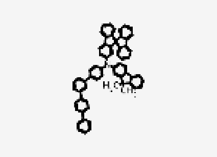 CC1(C)c2ccccc2-c2ccc(N(c3ccc(-c4cccc(-c5ccc(-c6ccccc6)cc5)c4)cc3)c3ccc4c(c3)C3(c5ccccc5-c5ccccc53)c3ccccc3-4)cc21